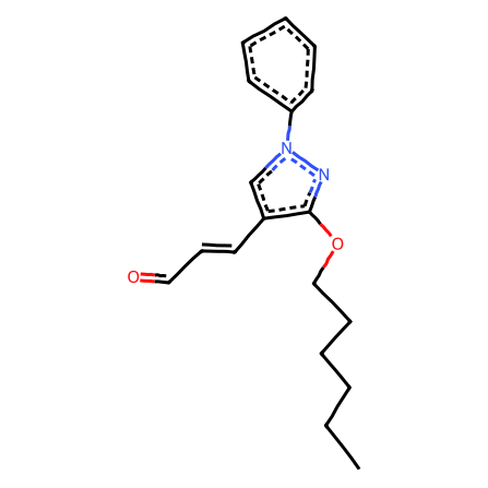 CCCCCCOc1nn(-c2ccccc2)cc1C=CC=O